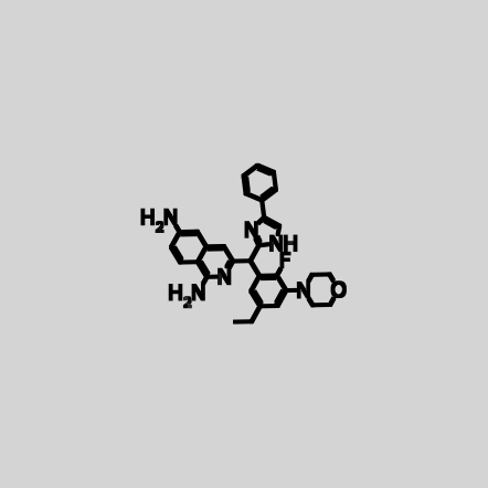 CCc1cc(C(c2cc3cc(N)ccc3c(N)n2)c2nc(-c3ccccc3)c[nH]2)c(F)c(N2CCOCC2)c1